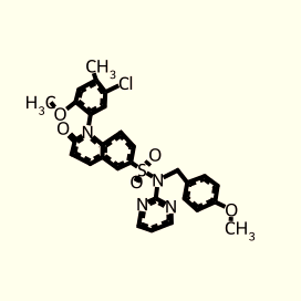 COc1ccc(CN(c2ncccn2)S(=O)(=O)c2ccc3c(ccc(=O)n3-c3cc(Cl)c(C)cc3OC)c2)cc1